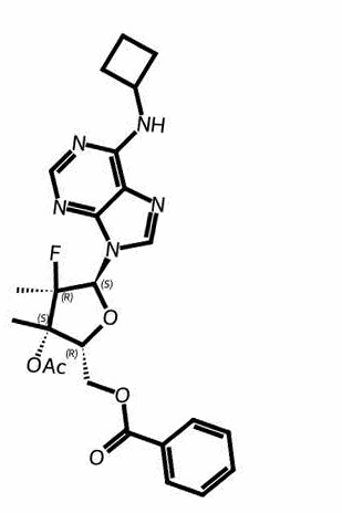 CC(=O)O[C@@]1(C)[C@@H](COC(=O)c2ccccc2)O[C@H](n2cnc3c(NC4CCC4)ncnc32)[C@]1(C)F